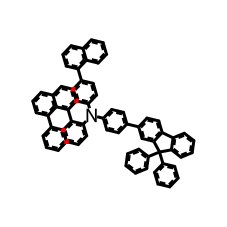 c1ccc(-c2cccc3cccc(-c4ccccc4N(c4ccc(-c5ccc6c(c5)C(c5ccccc5)(c5ccccc5)c5ccccc5-6)cc4)c4ccc(-c5cccc6ccccc56)cc4)c23)cc1